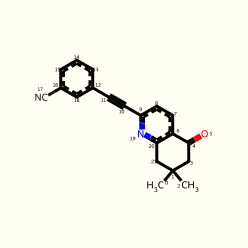 CC1(C)CC(=O)c2ccc(C#Cc3cccc(C#N)c3)nc2C1